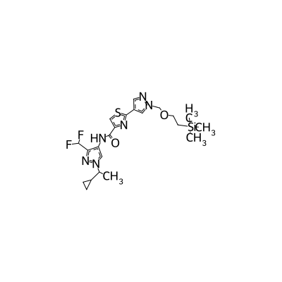 CC(C1CC1)n1cc(NC(=O)c2csc(-c3cnn(COCC[Si](C)(C)C)c3)n2)c(C(F)F)n1